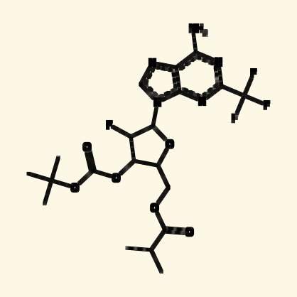 CC(C)C(=O)OCC1OC(n2cnc3c(N)nc(C(F)(F)F)nc32)C(F)C1OC(=O)OC(C)(C)C